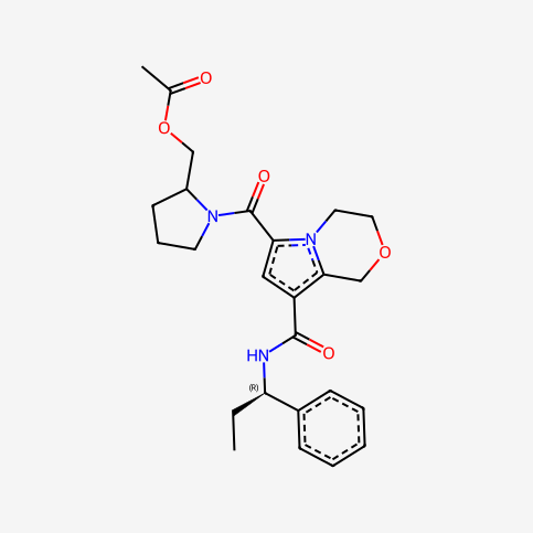 CC[C@@H](NC(=O)c1cc(C(=O)N2CCCC2COC(C)=O)n2c1COCC2)c1ccccc1